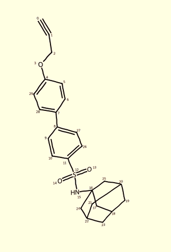 C#CCOc1ccc(-c2ccc(S(=O)(=O)NC34CC5CC(CC(C5)C3)C4)cc2)cc1